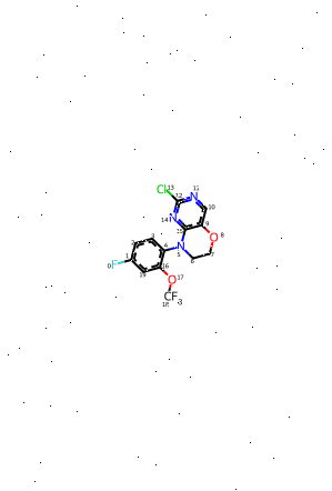 Fc1ccc(N2CCOc3cnc(Cl)nc32)c(OC(F)(F)F)c1